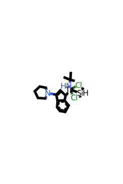 C[SiH](C)[Ti]([Cl])([Cl])([NH]C(C)(C)C)[CH]1C=C(N2CCCCC2)c2ccccc21